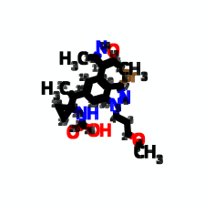 COCCCn1nc(Br)c2c(-c3c(C)noc3C)cc(C(C)C3(NC(=O)O)CC3)cc21